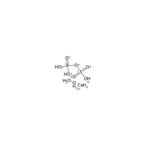 O.O.O=P(O)(O)OS(=O)(=O)O.[CaH2]